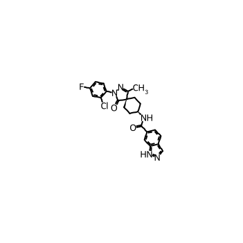 CC1=NN(c2ccc(F)cc2Cl)C(=O)[C@]12CC[C@H](NC(=O)c1ccc3cn[nH]c3c1)CC2